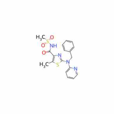 Cc1sc(N(Cc2ccccc2)c2ccccn2)nc1C(=O)NS(C)(=O)=O